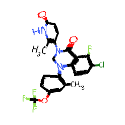 Cc1cc(OC(F)(F)F)ccc1N1CN(c2ccc(=O)[nH]c2C)C(=O)c2c1ccc(Cl)c2F